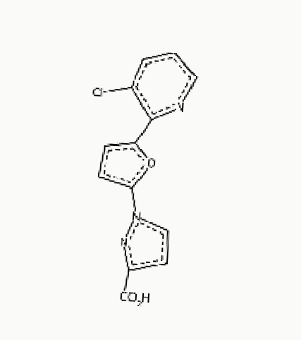 O=C(O)c1ccn(-c2ccc(-c3ncccc3Cl)o2)n1